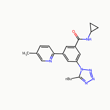 CCCCc1nnnn1-c1cc(C(=O)NC2CC2)cc(-c2ccc(C)cn2)c1